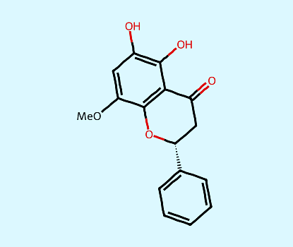 COc1cc(O)c(O)c2c1O[C@@H](c1ccccc1)CC2=O